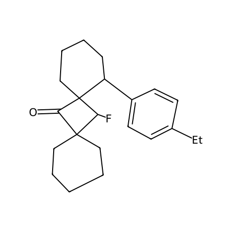 CCc1ccc(C2CCCCC23C(=O)C2(CCCCC2)C3F)cc1